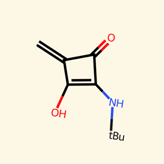 C=C1C(=O)C(NC(C)(C)C)=C1O